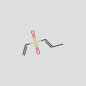 C=CS(=O)(=O)/C=C/C